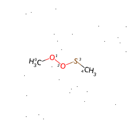 COOSC